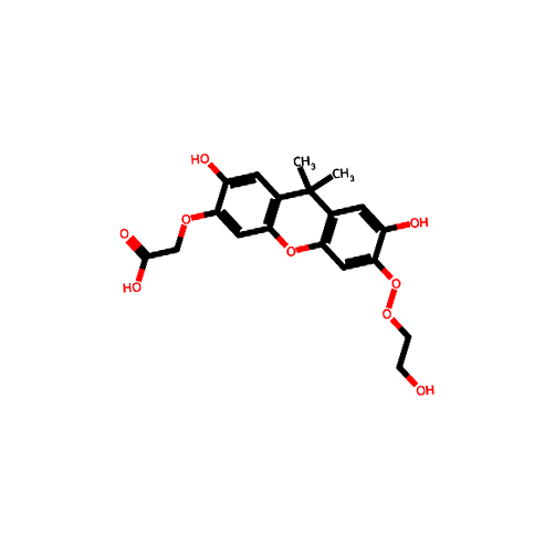 CC1(C)c2cc(O)c(OCC(=O)O)cc2Oc2cc(OOCCO)c(O)cc21